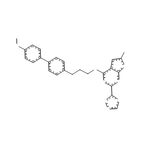 Cc1cc2c(NCCCc3ccc(-c4ccc(OC(F)(F)F)cc4)cc3)nc(-c3ncon3)nc2s1